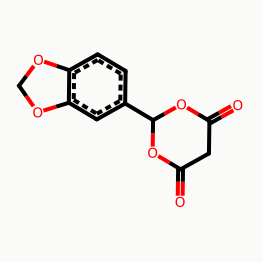 O=C1CC(=O)OC(c2ccc3c(c2)OCO3)O1